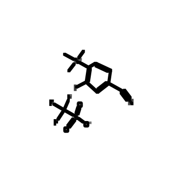 C[N+](C)(C)c1ccc(C#N)cc1I.O=S(=O)([O-])C(F)(F)F